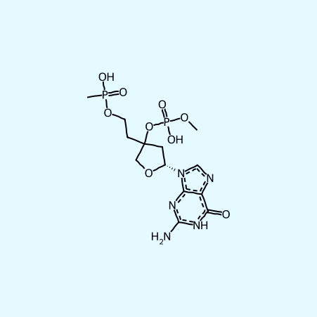 COP(=O)(O)OC1(CCOP(C)(=O)O)CO[C@@H](n2cnc3c(=O)[nH]c(N)nc32)C1